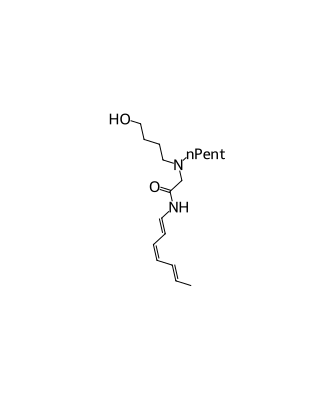 C/C=C/C=C\C=C\NC(=O)CN(CCCCC)CCCCO